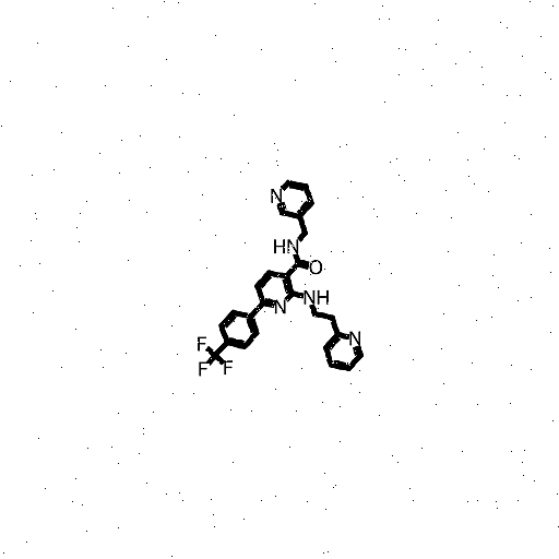 O=C(NCc1cccnc1)c1ccc(-c2ccc(C(F)(F)F)cc2)nc1NCCc1ccccn1